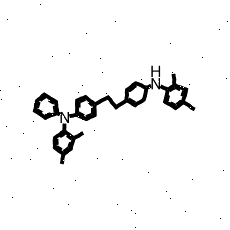 Cc1ccc(NC2C=CC(CCc3ccc(N(c4ccccc4)c4ccc(C)cc4C)cc3)=CC2)c(C)c1